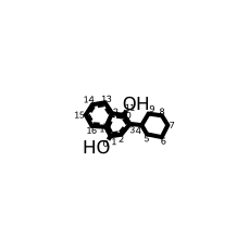 Oc1cc(C2CCCCC2)c(O)c2ccccc12